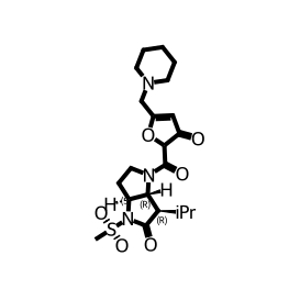 CC(C)[C@H]1C(=O)N(S(C)(=O)=O)[C@H]2CCN(C(=O)C3OC(CN4CCCCC4)=CC3=O)[C@H]12